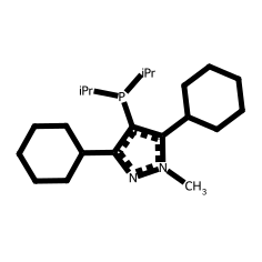 CC(C)P(c1c(C2CCCCC2)nn(C)c1C1CCCCC1)C(C)C